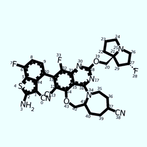 N#Cc1c(N)sc2c(F)ccc(-c3c(Cl)c4c5c(nc(OC[C@@]67CCCN6C[C@H](F)C7)nc5c3F)N3CCC(C#N)CCC3CO4)c12